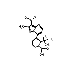 Cc1nn2c(C3CCCN(C(=O)O)C3C(C)(C)C)ccnc2c1[N+](=O)[O-]